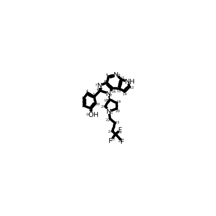 Oc1cccc(-c2nc3cnc4[nH]ccc4c3n2[C@H]2CCN(CCCC(F)(F)F)C2)c1